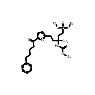 CCOP(=O)(CC[C@@](C)(CCc1ccc(C(=O)CCCCc2ccccc2)o1)NC(=O)OC(C)(C)C)OCC